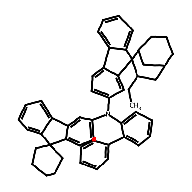 CCC1CC2CCCC(C2)C12c1ccccc1-c1ccc(N(c3ccc4c(c3)-c3ccccc3C43CCCCC3)c3ccccc3-c3ccccc3)cc12